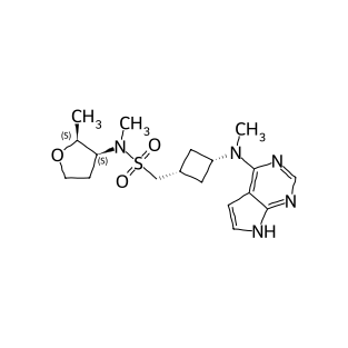 C[C@@H]1OCC[C@@H]1N(C)S(=O)(=O)C[C@H]1C[C@@H](N(C)c2ncnc3[nH]ccc23)C1